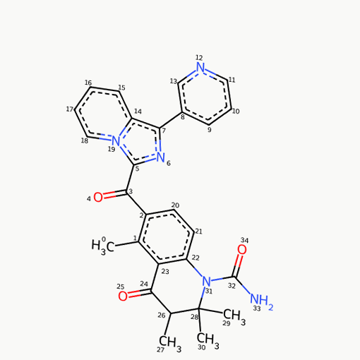 Cc1c(C(=O)c2nc(-c3cccnc3)c3ccccn23)ccc2c1C(=O)C(C)C(C)(C)N2C(N)=O